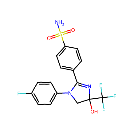 NS(=O)(=O)c1ccc(C2=NC(O)(C(F)(F)F)CN2c2ccc(F)cc2)cc1